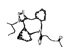 CCC(C)n1nnc2c1-c1ccccc1N(C(=O)CCC(C)=O)Cc1ccccc1-2